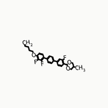 C=CCCCOc1ccc(-c2ccc(-c3ccc(C4OCC(C)CO4)c(F)c3)cc2)c(F)c1F